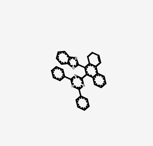 C1=Cc2c(c(-c3nc4ccccc4o3)c(-c3nc(-c4ccccc4)nc(-c4ccccc4)n3)c3ccccc23)CC1